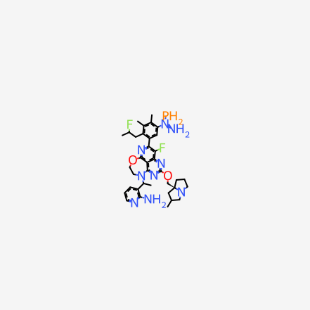 Cc1c(N(N)P)cc(-c2nc3c4c(nc(OC[C@@]56CCCN5CC(C)C6)nc4c2F)N(C(C)c2cccnc2N)CCO3)c(CC(C)F)c1C